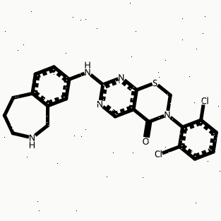 O=C1c2cnc(Nc3ccc4c(c3)CNCCC4)nc2SCN1c1c(Cl)cccc1Cl